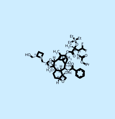 CC[Si](CC)(CC)O[C@@](C)(C(=O)O[C@H]1C[C@@]2(O)[C@@H](OC(=O)c3ccccc3)[C@H]3[C@@](C)(CC[C@H]4OC[C@]43OC(C)=O)[C@@H]3O[C@H](CN4CC[C@H]4CO)O[C@@H]3C(=C1C)C2(C)C)[C@@H](NC(=O)OC(C)C)C(F)F